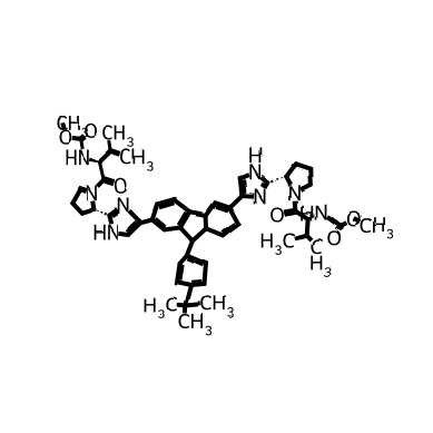 COC(=O)N[C@H](C(=O)N1CCC[C@H]1c1nc(C2=CC3c4ccc(-c5c[nH]c([C@@H]6CCCN6C(=O)[C@@H](NC(=O)OC)C(C)C)n5)cc4C(c4ccc(C(C)(C)C)cc4)C3C=C2)c[nH]1)C(C)C